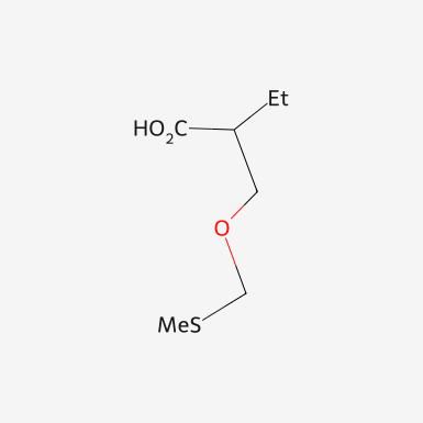 CCC(COCSC)C(=O)O